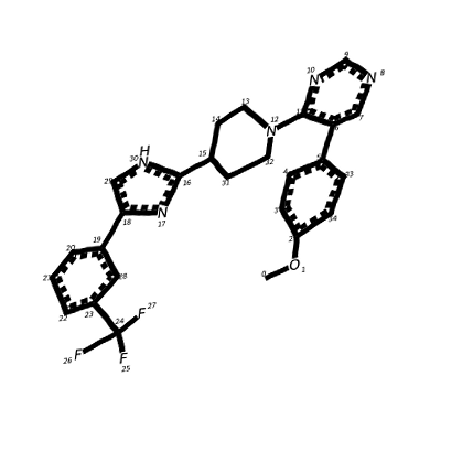 COc1ccc(-c2cncnc2N2CCC(c3nc(-c4cccc(C(F)(F)F)c4)c[nH]3)CC2)cc1